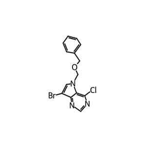 Clc1ncnc2c(Br)cn(COCc3ccccc3)c12